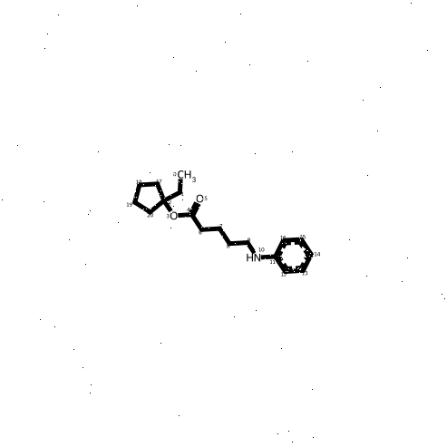 CCC1(OC(=O)CCCCNc2ccccc2)CCCC1